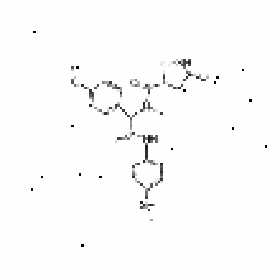 COc1ccc(C(C(=O)Nc2ccc([Si](C)(C)C)cc2)N(C)C(=O)C2CNC(=O)C2)cc1